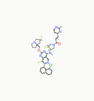 Cc1nccc(/C=C/C(=O)N2C[C@H](F)[C@@H](N(C)c3nc(OC[C@@]45CCCN4C[C@H](F)C5)nc4c(F)c(-c5cccc6cccc(Cl)c56)ncc34)C2)n1